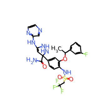 CC(Oc1cc(C2(C(N)=O)C=C(Nc3cnccn3)NN2)ccc1NS(=O)(=O)CC(F)(F)F)c1cccc(F)c1